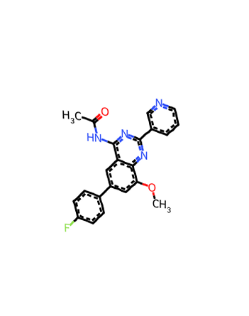 COc1cc(-c2ccc(F)cc2)cc2c(NC(C)=O)nc(-c3cccnc3)nc12